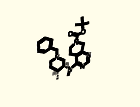 C[C@@H]1CCN(Cc2ccccc2)C[C@@H]1N(C)c1ncnc2c1CCN(C(=O)OC(C)(C)C)C2